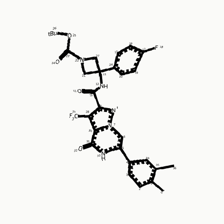 Cc1ccc(-c2cn3nc(C(=O)NC4(c5ccc(F)cc5)CN(C(=O)OC(C)(C)C)C4)c(C(F)(F)F)c3c(=O)[nH]2)cc1C